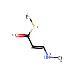 CCNC=CC(=O)SCC